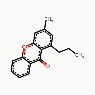 CCCc1cc(C)cc2oc3ccccc3c(=O)c12